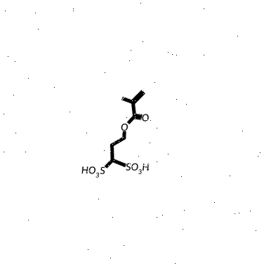 C=C(C)C(=O)OCCC(S(=O)(=O)O)S(=O)(=O)O